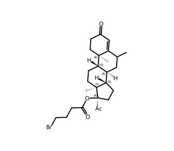 CC(=O)[C@@]1(OC(=O)CCCBr)CC[C@H]2[C@@H]3CC(C)C4=CC(=O)CC[C@]4(C)[C@H]3CC[C@@]21C